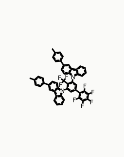 Cc1ccc(-c2ccc3c(c2)c2ccccc2n3-c2cc(-c3c(F)c(F)c(F)c(F)c3F)cc(-n3c4ccccc4c4cc(-c5ccc(C)cc5)ccc43)c2C(F)(F)F)cc1